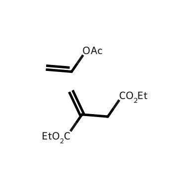 C=C(CC(=O)OCC)C(=O)OCC.C=COC(C)=O